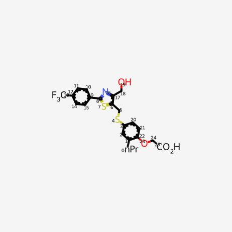 CCCc1cc(SCc2sc(-c3ccc(C(F)(F)F)cc3)nc2CO)ccc1OCC(=O)O